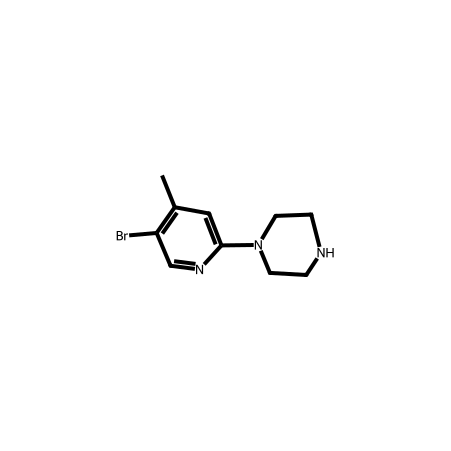 Cc1cc(N2CCNCC2)ncc1Br